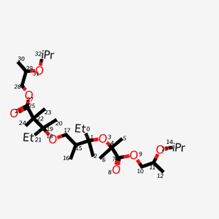 CCC(C)(OC(C)(C)C(=O)OCC(C)OC(C)C)C(C)COC(C)(CC)C(C)(C)C(=O)OCC(C)OC(C)C